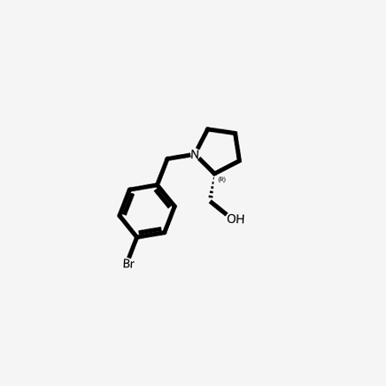 OC[C@H]1CCCN1Cc1ccc(Br)cc1